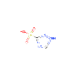 O=S(=O)(O)c1nc[nH]n1